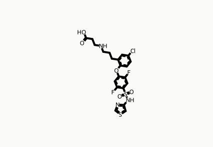 O=C(O)CCNCCCc1cc(Cl)ccc1Oc1cc(F)c(S(=O)(=O)Nc2cscn2)cc1F